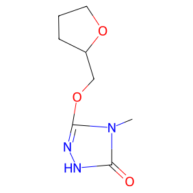 Cn1c(OCC2CCCO2)n[nH]c1=O